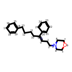 C(/CCN1CCOCC1)=C(\CCCCc1ccccc1)c1ccccc1